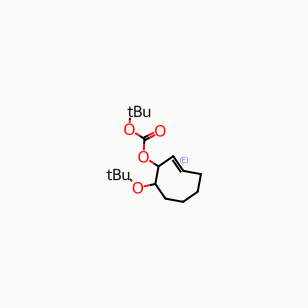 CC(C)(C)OC(=O)OC1/C=C/CCCCC1OC(C)(C)C